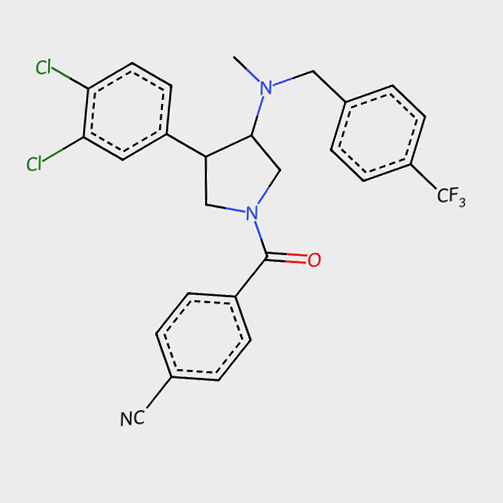 CN(Cc1ccc(C(F)(F)F)cc1)C1CN(C(=O)c2ccc(C#N)cc2)CC1c1ccc(Cl)c(Cl)c1